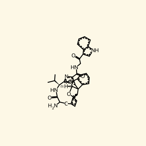 CC(C)[C@@H]1NC(=O)C(N)Cc2ccc3c(c2)C2(c4ccccc4N[C@H]2O3)c2oc1nc2C(=O)NCC(=O)c1c[nH]c2ccccc12